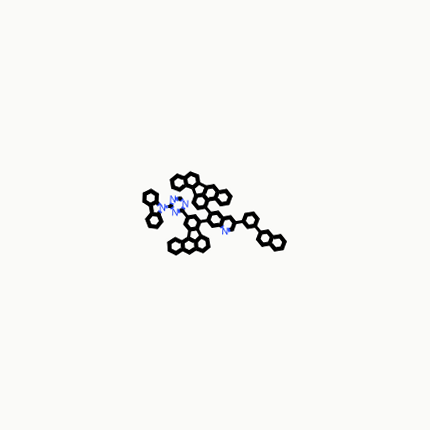 c1cc(-c2ccc3ccccc3c2)cc(-c2cnc3cc(-c4cc(-c5ncnc(-n6c7ccccc7c7ccccc76)n5)cc5c4-c4cccc6cc7ccccc7c-5c46)c(-c4ccc5c6c(cc7ccccc7c46)-c4ccc6ccccc6c4-5)cc3c2)c1